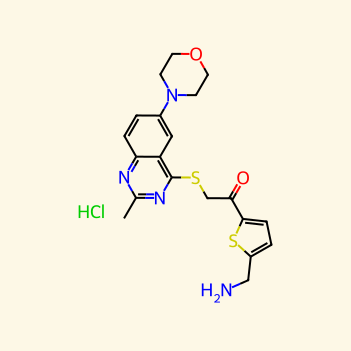 Cc1nc(SCC(=O)c2ccc(CN)s2)c2cc(N3CCOCC3)ccc2n1.Cl